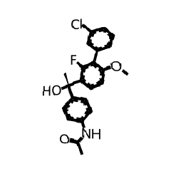 COc1ccc([C@@](C)(O)c2ccc(NC(C)=O)cc2)c(F)c1-c1cccc(Cl)c1